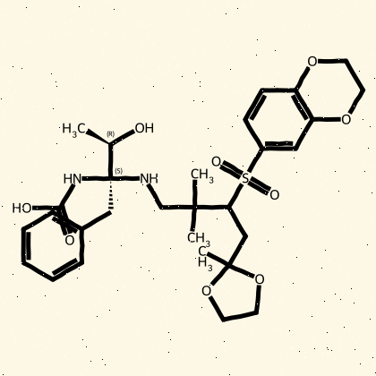 C[C@@H](O)[C@@](Cc1ccccc1)(NCC(C)(C)C(CC1(C)OCCO1)S(=O)(=O)c1ccc2c(c1)OCCO2)NC(=O)O